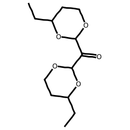 CCC1CCOC(C(=O)C2OCCC(CC)O2)O1